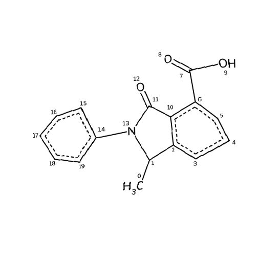 CC1c2cccc(C(=O)O)c2C(=O)N1c1ccccc1